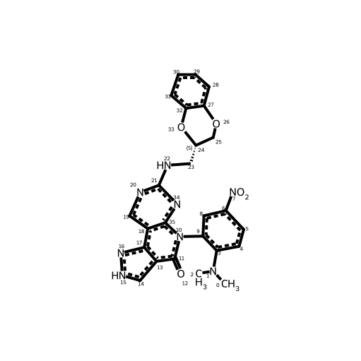 CN(C)c1ccc([N+](=O)[O-])cc1-n1c(=O)c2c[nH]nc2c2cnc(NC[C@H]3COc4ccccc4O3)nc21